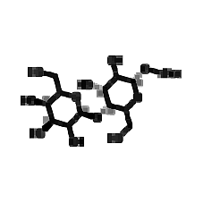 CCCCCCO[C@@H]1OC(CO)[C@H](O[C@@H]2OC(CO)[C@H](O)[C@H](O)C2O)[C@H](O)C1O